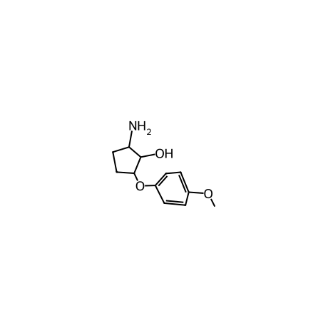 COc1ccc(OC2CCC(N)C2O)cc1